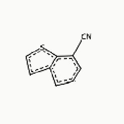 N#Cc1c[c]cc2ccsc12